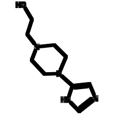 OCCN1CCN(c2cnc[nH]2)CC1